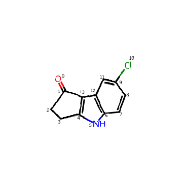 O=C1CCc2[nH]c3ccc(Cl)cc3c21